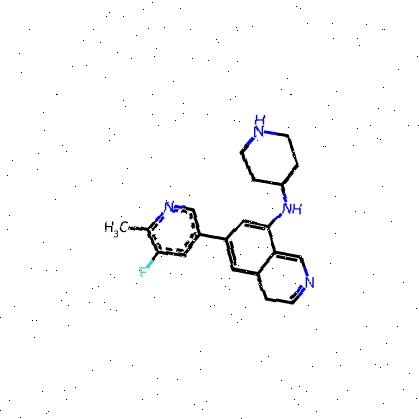 Cc1ncc(C2=CC3CC=NC=C3C(NC3CCNCC3)=C2)cc1F